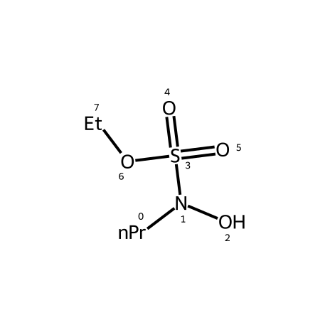 CCCN(O)S(=O)(=O)OCC